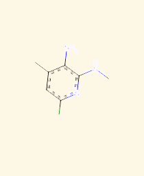 CNc1nc(Cl)cc(C)c1N.[Fe]